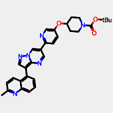 Cc1ccc2c(-c3cnn4cc(-c5ccc(OC6CCN(C(=O)OC(C)(C)C)CC6)cn5)cnc34)cccc2n1